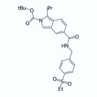 CCS(=O)(=O)c1ccc(CNC(=O)c2ccc3c(C(C)C)n(C(=O)OC(C)(C)C)cc3c2)cc1